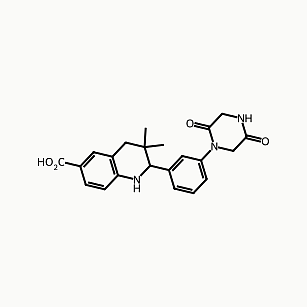 CC1(C)Cc2cc(C(=O)O)ccc2NC1c1cccc(N2CC(=O)NCC2=O)c1